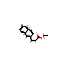 CCOC(=O)/C=C\c1ccc2ccccc2c1